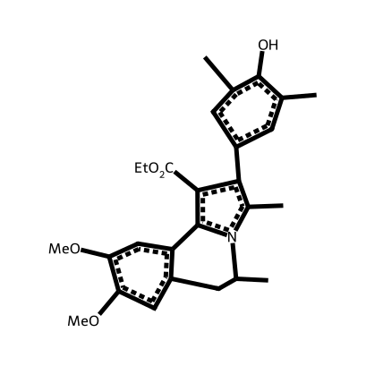 CCOC(=O)c1c(-c2cc(C)c(O)c(C)c2)c(C)n2c1-c1cc(OC)c(OC)cc1CC2C